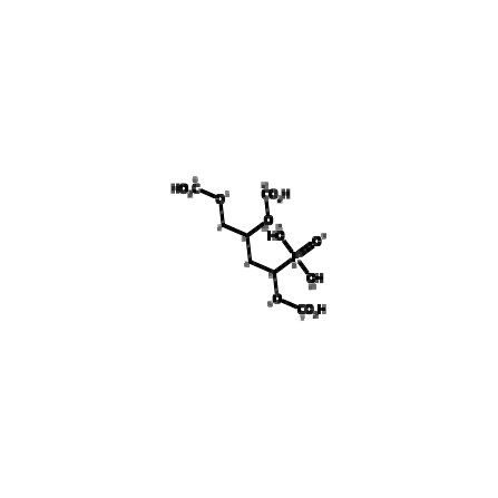 O=C(O)OCC(CC(OC(=O)O)P(=O)(O)O)OC(=O)O